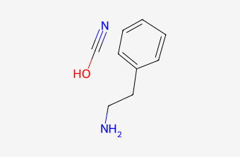 N#CO.NCCc1ccccc1